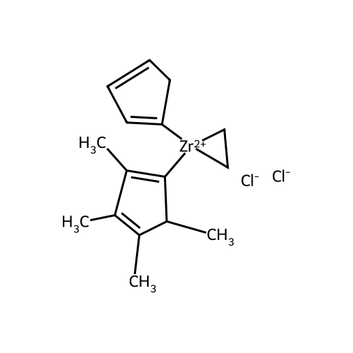 CC1=C(C)C(C)[C]([Zr+2]2([C]3=CC=CC3)[CH2][CH2]2)=C1C.[Cl-].[Cl-]